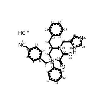 Cl.N#Cc1ccc(C[N@@+]2(c3ccccc3)CC(Cc3ccccc3)N(Cc3cnc[nH]3)C(=O)C2=O)cc1